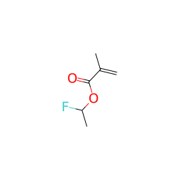 C=C(C)C(=O)OC(C)F